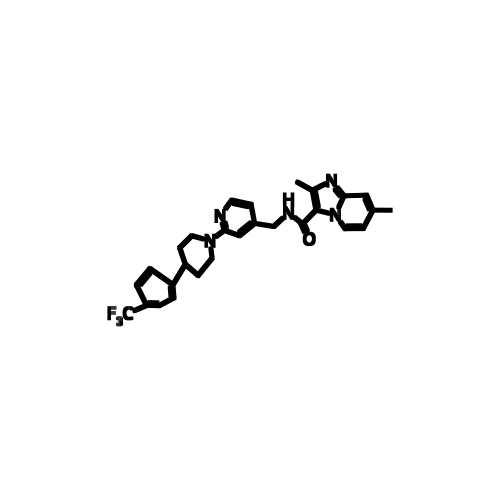 Cc1ccn2c(C(=O)NCc3ccnc(N4CCC(c5ccc(C(F)(F)F)cc5)CC4)c3)c(C)nc2c1